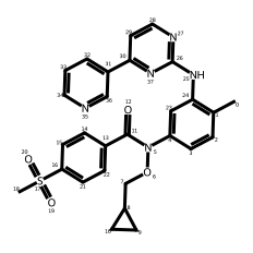 Cc1ccc(N(OCC2CC2)C(=O)c2ccc(S(C)(=O)=O)cc2)cc1Nc1nccc(-c2cccnc2)n1